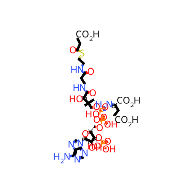 CC(C)(COP(=O)(O)OP(=O)(O)OC[C@H]1O[C@@H](n2cnc3c(N)ncnc32)[C@H](O)[C@@H]1OP(=O)(O)O)[C@@H](O)C(=O)NCCC(=O)NCCSC(=O)CCC(=O)O.N[C@@H](CCC(=O)O)C(=O)O